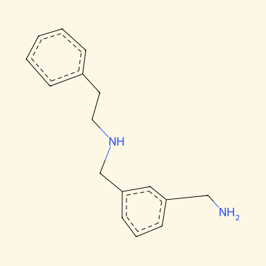 NCc1cccc(CNCCc2ccccc2)c1